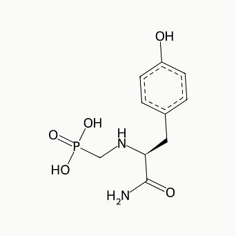 NC(=O)[C@H](Cc1ccc(O)cc1)NCP(=O)(O)O